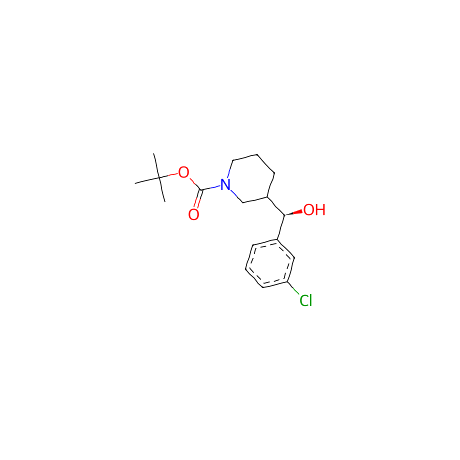 CC(C)(C)OC(=O)N1CCCC([C@@H](O)c2cccc(Cl)c2)C1